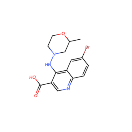 CC1CN(Nc2c(C(=O)O)cnc3ccc(Br)cc23)CCO1